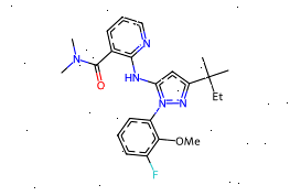 CCC(C)(C)c1cc(Nc2ncccc2C(=O)N(C)C)n(-c2cccc(F)c2OC)n1